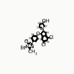 CCn1c(C)nn(-c2ccc(O[C@H]3c4cc(Cl)cc(Cl)c4C[C@H]3N3CC[C@@H](O)C3)cc2)c1=O